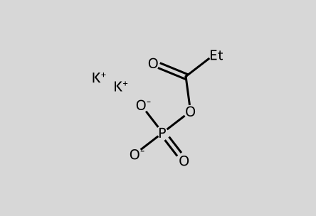 CCC(=O)OP(=O)([O-])[O-].[K+].[K+]